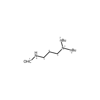 CCCCN(CCCC)CCCNC=O